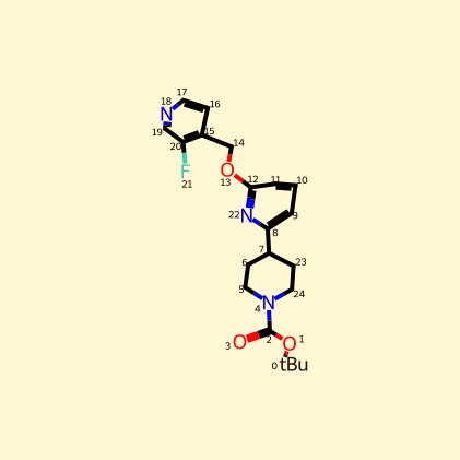 CC(C)(C)OC(=O)N1CCC(c2cccc(OCc3ccncc3F)n2)CC1